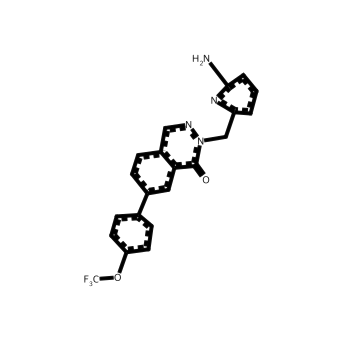 Nc1cccc(Cn2ncc3ccc(-c4ccc(OC(F)(F)F)cc4)cc3c2=O)n1